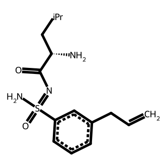 C=CCc1cccc(S(N)(=O)=NC(=O)[C@@H](N)CC(C)C)c1